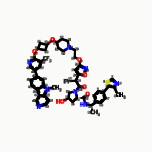 Cc1ncsc1-c1ccc([C@H](C)NC(=O)[C@@H]2C[C@@H](O)CN2C(=O)C(c2cc(OCCN3CCC(OC4CC(Oc5ncc(-c6ccc7c8cnccc8n(C)c7c6)cc5C(F)(F)F)C4)CC3)no2)C(C)C)cc1